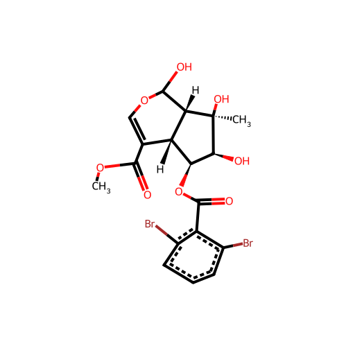 COC(=O)C1=COC(O)[C@H]2[C@@H]1[C@H](OC(=O)c1c(Br)cccc1Br)[C@H](O)[C@]2(C)O